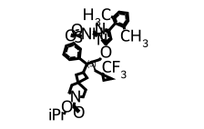 Cc1cccc(C)c1-c1cc2nc(n1)NS(=O)(=O)c1cccc(c1)C(C1CC3(CCN(C(=O)OC(C)C)CC3)C1)[C@H](CC1(C(F)(F)F)CC1)CO2